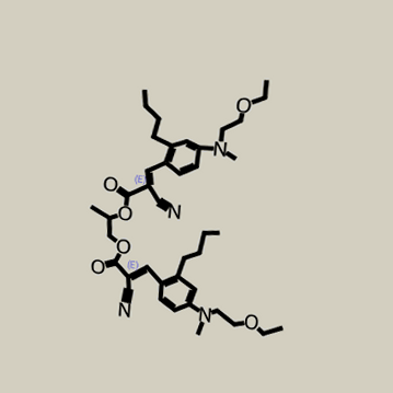 CCCCc1cc(N(C)CCOCC)ccc1/C=C(\C#N)C(=O)OCC(C)OC(=O)/C(C#N)=C/c1ccc(N(C)CCOCC)cc1CCCC